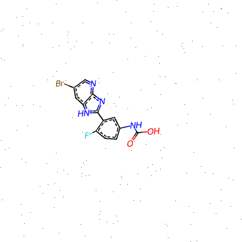 O=C(O)Nc1ccc(F)c(-c2nc3ncc(Br)cc3[nH]2)c1